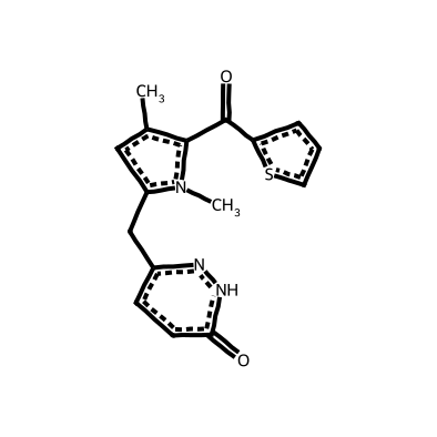 Cc1cc(Cc2ccc(=O)[nH]n2)n(C)c1C(=O)c1cccs1